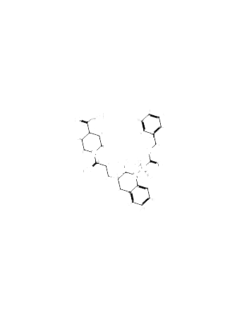 C[C@@H]1[C@H](CCC(=O)N2CCC(C(=O)O)CC2)Cc2ccccc2N1S(=O)(=O)C(=O)OCc1ccccc1